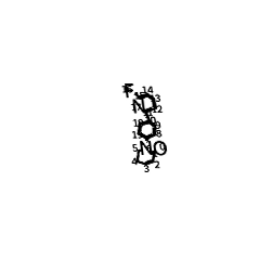 O=C1C=CCCN1c1ccc(-c2cccc(F)n2)cc1